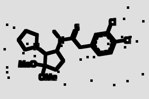 COC1(OC)CCC(N(C)C(=S)Cc2ccc(Cl)c(Cl)c2)C1N1CCCC1